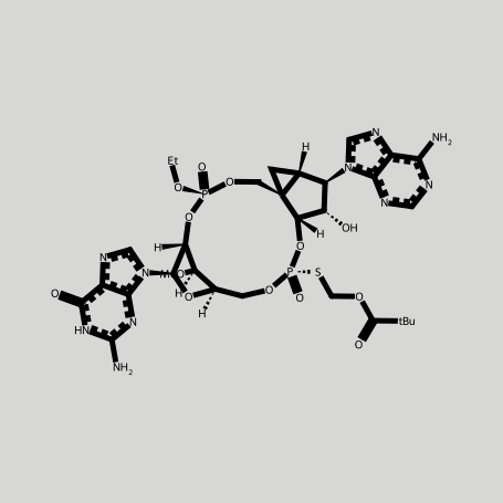 CCO[P@@]1(=O)OC[C@@]23C[C@@H]2[C@@H](n2cnc4c(N)ncnc42)[C@H](O)[C@@H]3O[P@](=O)(SCOC(=O)C(C)(C)C)OC[C@H]2O[C@@H](n3cnc4c(=O)[nH]c(N)nc43)[C@H](O1)[C@@H]2OC